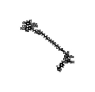 COc1cc(Nc2c(C#N)cnc3cc(OCCCN4CCN(CCCCCCOCCOCCOCCOCCOCCOCC(=O)N[C@H](C(=O)N5C[C@H](O)C[C@H]5C(=O)NCc5ccc(-c6scnc6C)cc5)C(C)(C)C)CC4)c(OC)cc23)c(Cl)cc1Cl